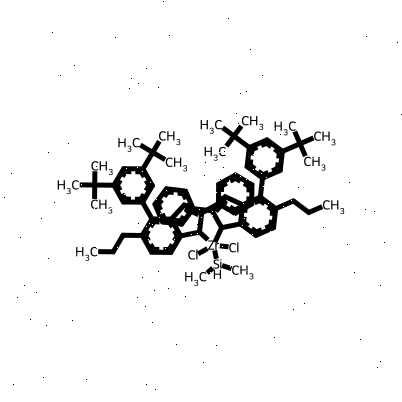 CCCc1ccc2c(c1-c1cc(C(C)(C)C)cc(C(C)(C)C)c1)C=C(c1ccccc1)[CH]2[Zr]([Cl])([Cl])([CH]1C(c2ccccc2)=Cc2c1ccc(CCC)c2-c1cc(C(C)(C)C)cc(C(C)(C)C)c1)[SiH](C)C